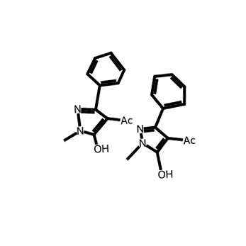 CC(=O)c1c(-c2ccccc2)nn(C)c1O.CC(=O)c1c(-c2ccccc2)nn(C)c1O